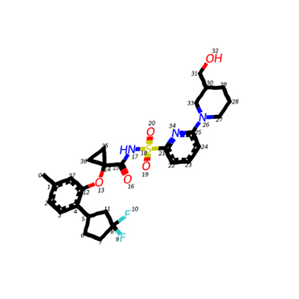 Cc1ccc(C2CCC(F)(F)C2)c(OC2(C(=O)NS(=O)(=O)c3cccc(N4CCCC(CO)C4)n3)CC2)c1